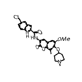 COc1cc2cc(NC(=O)c3cc4cc(Cl)ccc4[nH]3)c(=O)oc2c(C)c1OC1CCN(C)CC1